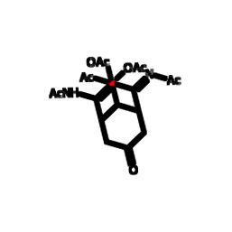 CC(=O)N=C1C(OC(C)=O)=C(NC(C)=O)C2CC(=O)CC1C2N(OC(C)=O)C(C)=O